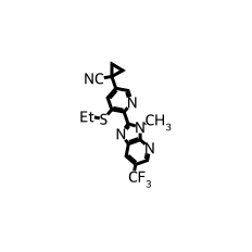 CCSc1cc(C2(C#N)CC2)cnc1-c1nc2cc(C(F)(F)F)cnc2n1C